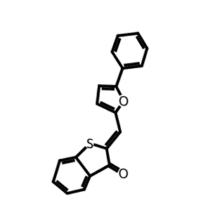 O=C1/C(=C/c2ccc(-c3ccccc3)o2)Sc2ccccc21